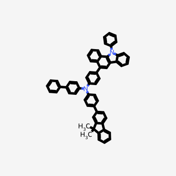 CC1(C)c2ccccc2-c2ccc(-c3ccc(N(c4ccc(-c5ccccc5)cc4)c4ccc(-c5cc6c7ccccc7n(-c7ccccc7)c6c6ccccc56)cc4)cc3)cc21